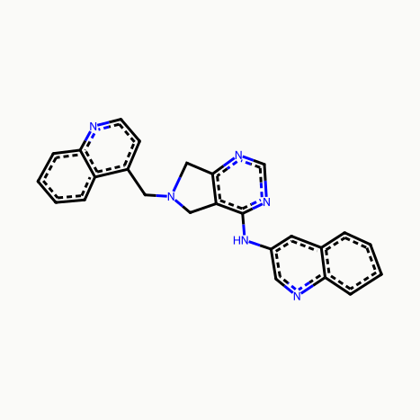 c1ccc2ncc(Nc3ncnc4c3CN(Cc3ccnc5ccccc35)C4)cc2c1